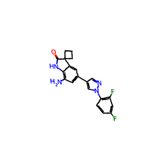 Nc1cc(-c2cnn(-c3ccc(F)cc3F)c2)cc2c1NC(=O)C21CCC1